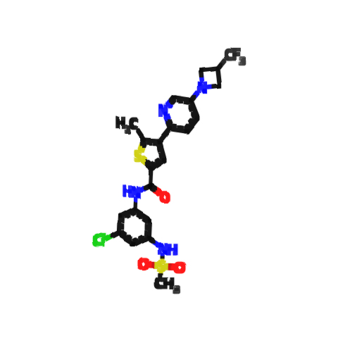 Cc1sc(C(=O)Nc2cc(Cl)cc(NS(C)(=O)=O)c2)cc1-c1ccc(N2CC(C(F)(F)F)C2)cn1